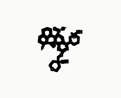 C#Cc1c(F)ccc2cccc(-c3c([N+](=O)[O-])cc4c(N5CCC[C@@](C)(O)C5)nc(OCC5(C#N)CCOCC5)nc4c3F)c12